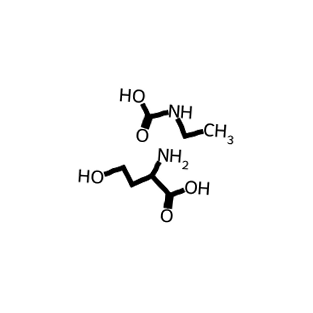 CCNC(=O)O.NC(CCO)C(=O)O